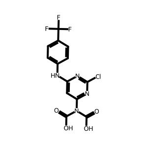 O=C(O)N(C(=O)O)c1cc(Nc2ccc(C(F)(F)F)cc2)nc(Cl)n1